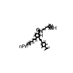 C=C(C)c1ccc(C#Cc2cc(C(=O)NCCCc3cn[nH]c3)ccc2/C=C/CC/N=C/CCC)cc1